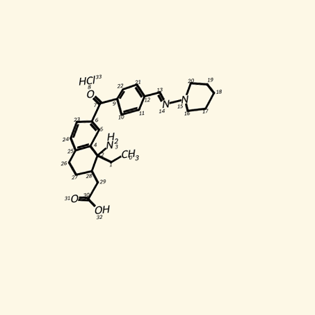 CCC1(N)c2cc(C(=O)c3ccc(C=NN4CCCCC4)cc3)ccc2CCC1CC(=O)O.Cl